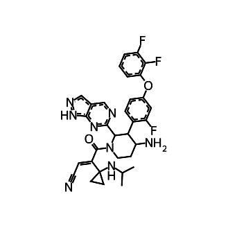 CC(C)NC1(C(=CC#N)C(=O)N2CCC(N)C(c3ccc(Oc4cccc(F)c4F)cc3F)C2c2ncc3cn[nH]c3n2)CC1